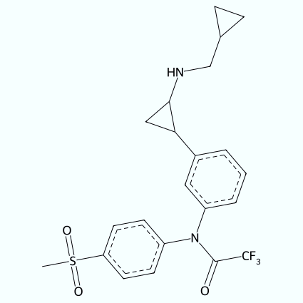 CS(=O)(=O)c1ccc(N(C(=O)C(F)(F)F)c2cccc(C3CC3NCC3CC3)c2)cc1